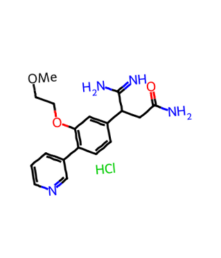 COCCOc1cc(C(CC(N)=O)C(=N)N)ccc1-c1cccnc1.Cl